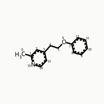 Cc1cc(CCOc2ccccc2)ccn1